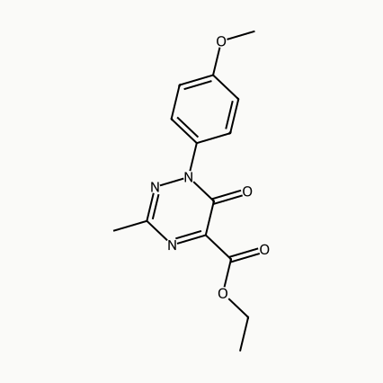 CCOC(=O)c1nc(C)nn(-c2ccc(OC)cc2)c1=O